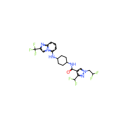 O=C(NC1CCC(Nc2cccc3nc(C(F)(F)F)cn23)CC1)c1cn(CC(F)F)nc1C(F)F